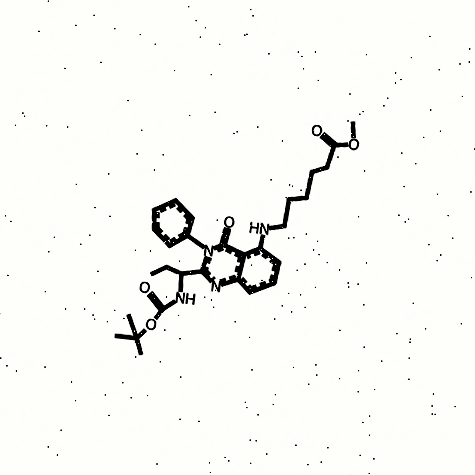 CCC(NC(=O)OC(C)(C)C)c1nc2cccc(NCCCCCC(=O)OC)c2c(=O)n1-c1ccccc1